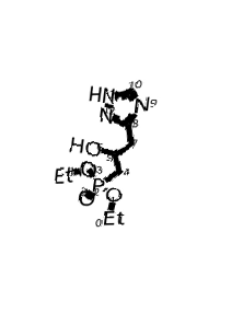 CCOP(=O)(CC(O)Cc1nc[nH]n1)OCC